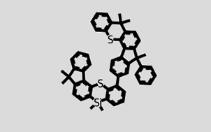 CC1(C)c2ccccc2Sc2c1ccc1c2-c2ccc(-c3cccc4c3Sc3c(ccc5c3-c3ccccc3C5(C)C)[Si]4(C)C)cc2C1(C)c1ccccc1